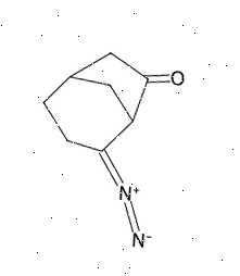 [N-]=[N+]=C1CCC2CC(=O)C1C2